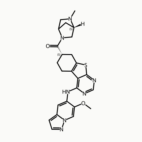 COc1cn2nccc2cc1Nc1ncnc2sc3c(c12)CC[C@H](C(=O)N1C[C@@H]2CC1CN2C)C3